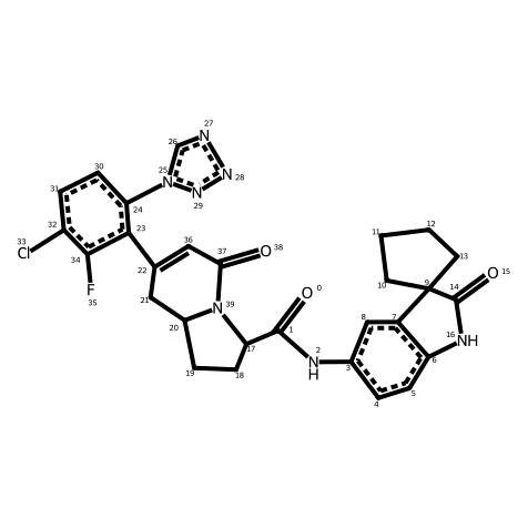 O=C(Nc1ccc2c(c1)C1(CCCC1)C(=O)N2)C1CCC2CC(c3c(-n4cnnn4)ccc(Cl)c3F)=CC(=O)N21